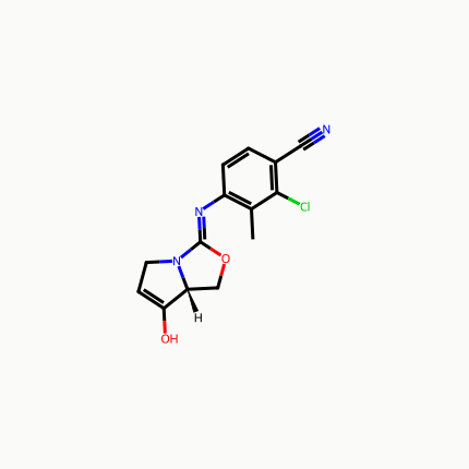 Cc1c(/N=C2\OC[C@@H]3C(O)=CCN23)ccc(C#N)c1Cl